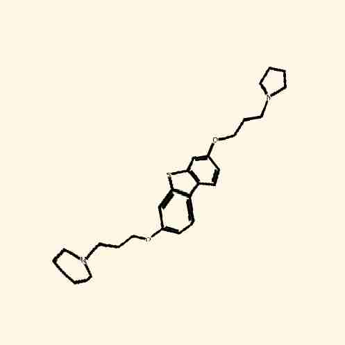 c1cc2c(cc1OCCCN1CCCC1)sc1cc(OCCCN3CCCC3)ccc12